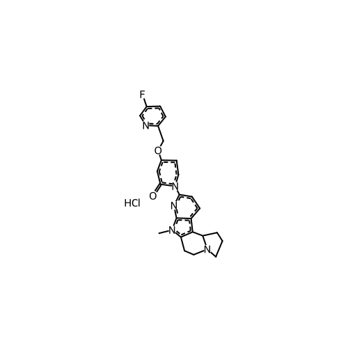 Cl.Cn1c2c(c3ccc(-n4ccc(OCc5ccc(F)cn5)cc4=O)nc31)C1CCCN1CC2